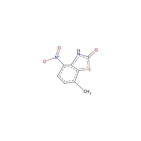 Cc1ccc([N+](=O)[O-])c2[nH]c(=O)sc12